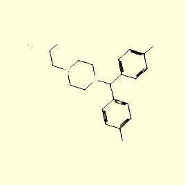 C[C@@H](C#N)CN1CCN(C(c2ccc(F)cc2)c2ccc(F)cc2)CC1